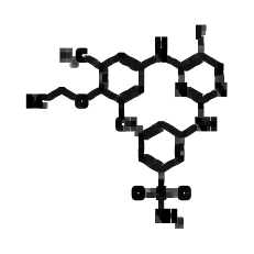 Cc1cc(Nc2nc(Nc3cccc(S(N)(=O)=O)c3)ncc2F)cc(C)c1OCC#N